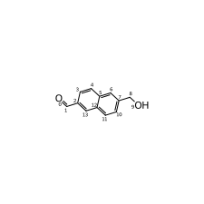 O=Cc1ccc2cc(CO)ccc2c1